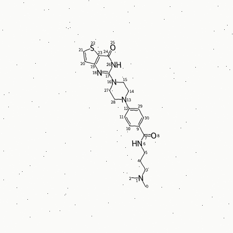 CN(C)CCCNC(=O)c1ccc(N2CCN(c3nc4ccsc4c(=O)[nH]3)CC2)cc1